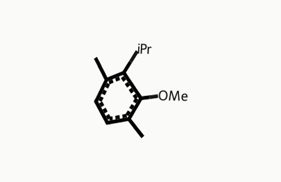 COc1c(C)ccc(C)c1C(C)C